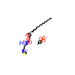 CCCCCCCCCCCCCCCC[C@H]1CO[C@H](COC(=O)NCCCC[n+]2ccsc2)C1.Cc1ccc(S(=O)(=O)[O-])cc1